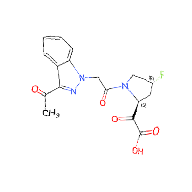 CC(=O)c1nn(CC(=O)N2C[C@H](F)C[C@H]2C(=O)C(=O)O)c2ccccc12